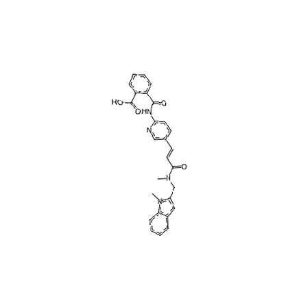 CN(Cc1cc2ccccc2n1C)C(=O)C=Cc1ccc(NC(=O)c2ccccc2C(=O)O)nc1